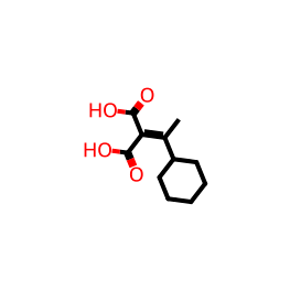 CC(=C(C(=O)O)C(=O)O)C1CCCCC1